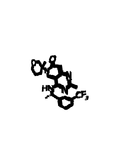 Cc1nc(N[C@@H](C)c2cccc(C(F)(F)F)c2)c2cn(C3(C)CCCOC3)c(=O)cc2n1